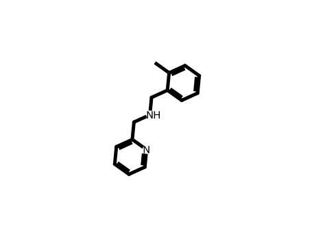 Cc1ccccc1CNCc1ccccn1